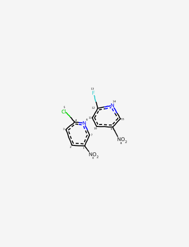 O=[N+]([O-])c1ccc(Cl)nc1.O=[N+]([O-])c1ccc(F)nc1